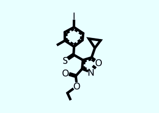 CCOC(=O)c1noc(C2CC2)c1C(=S)c1ccc(I)cc1C